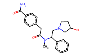 CN(C(=O)Cc1ccc(C(N)=O)cc1)C(CN1CCC(O)C1)c1ccccc1